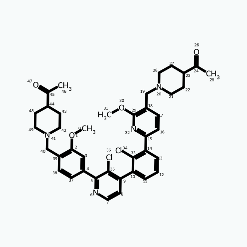 COc1cc(-c2nccc(-c3cccc(-c4ccc(CN5CCC(C(C)=O)CC5)c(OC)n4)c3Cl)c2Cl)ccc1CN1CCC(C(C)=O)CC1